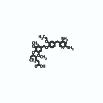 CCOc1cc(Cc2cnc(N)nc2N)ccc1OCc1cc(OC)c(OC(CC)CCCC(=O)O)c(OC)c1